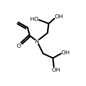 C=CC(=O)N(CC(O)O)CC(O)O